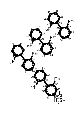 Fc1ccccc1-c1ccccc1F.Fc1ccccc1-c1ccccc1F.Fc1ccccc1-c1ccccc1F.Fc1ccccc1-c1ccccc1F.S.S